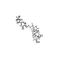 CC[C@H]1C[C@@H]2[C@H](CC[C@]3(C)[C@@H]([C@H](C)CCOc4ncc(C(=O)NS(C)(=O)=O)cc4Cl)CC[C@@H]23)[C@@]2(C)CC[C@@H](O)C[C@@H]12